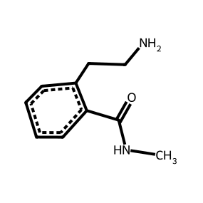 CNC(=O)c1ccccc1CCN